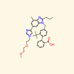 CCCc1nc2c(C)cc(-c3cn(CCOCCOC)cn3)cc2n1Cc1ccc(-c2ccccc2C(=O)O)c(C(C)(C)C)c1